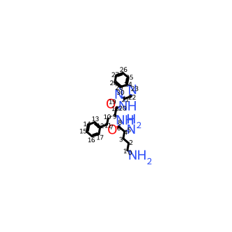 NCCC[C@H](N)C(=O)N[C@H](CCc1ccccc1)C(=O)Nc1cnc2ccccc2n1